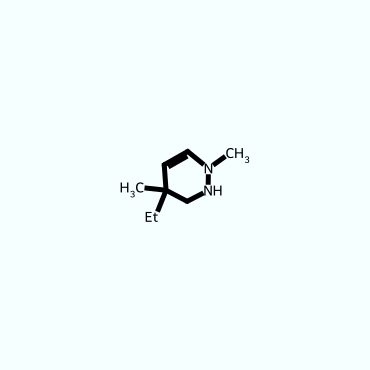 CCC1(C)C=CN(C)NC1